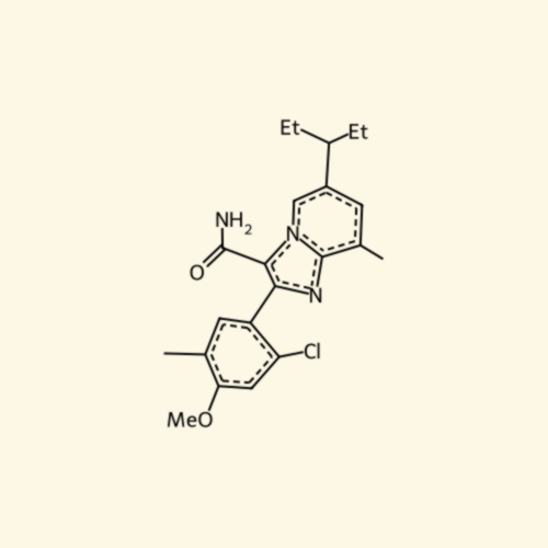 CCC(CC)c1cc(C)c2nc(-c3cc(C)c(OC)cc3Cl)c(C(N)=O)n2c1